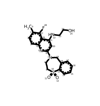 Cc1ccc2nc(N3CCS(=O)(=O)c4ccccc4C3)cc(NCCO)c2c1F